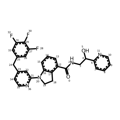 O=C(NCC(O)c1ccccn1)c1cccc2c1CCN2c1cc(Cc2cc(F)c(F)c(F)c2)ccn1